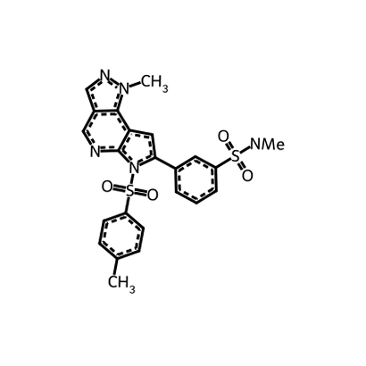 CNS(=O)(=O)c1cccc(-c2cc3c4c(cnc3n2S(=O)(=O)c2ccc(C)cc2)cnn4C)c1